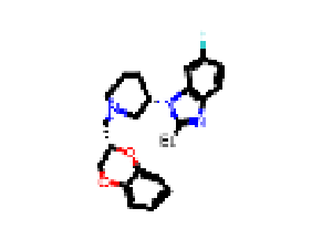 CCc1nc2ccc(F)cc2n1[C@H]1CCCN(C[C@H]2COc3ccccc3O2)C1